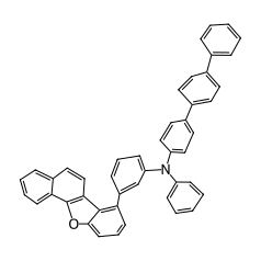 c1ccc(-c2ccc(-c3ccc(N(c4ccccc4)c4cccc(-c5cccc6oc7c8ccccc8ccc7c56)c4)cc3)cc2)cc1